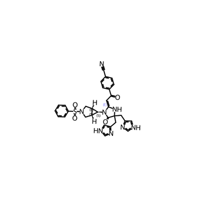 N#Cc1ccc(C(=O)/C=C2\NC(Cc3c[nH]cn3)(Cc3c[nH]cn3)C(=O)N2[C@H]2[C@@H]3CN(S(=O)(=O)c4ccccc4)C[C@@H]32)cc1